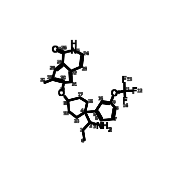 CCC(N)C1(c2cccc(OC(F)(F)F)c2)CCC(Oc2cc3cc[nH]c(=O)c3cc2C)CC1